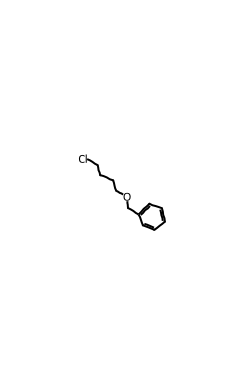 ClCCCCOCc1ccccc1